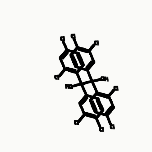 OC(c1ccc(Cl)c(Cl)c1)(c1ccc(Cl)cc1Cl)C(O)(c1ccc(Cl)c(Cl)c1)c1ccc(Cl)cc1Cl